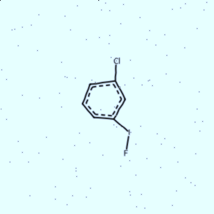 F[I]c1cccc(Cl)c1